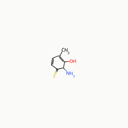 CC1=C(O)C(N)C(=S)C=C1